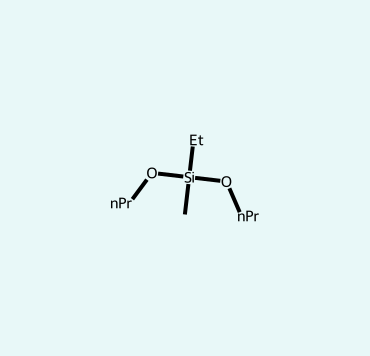 [CH2]C[Si](C)(OCCC)OCCC